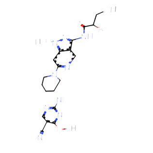 CCC(Br)C(=O)Nc1nn(C)c2cc(N3CCC[C@@H](Nc4ncc(C#N)c(OC)n4)C3)ncc12